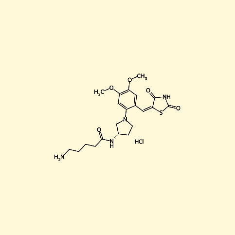 COc1cc(C=C2SC(=O)NC2=O)c(N2CC[C@H](NC(=O)CCCCN)C2)cc1OC.Cl